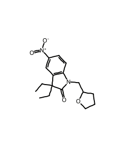 CCC1(CC)C(=O)N(CC2CCCO2)c2ccc([N+](=O)[O-])cc21